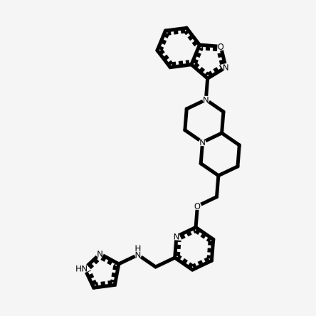 c1cc(CNc2cc[nH]n2)nc(OCC2CCC3CN(c4noc5ccccc45)CCN3C2)c1